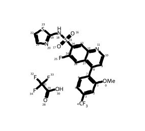 COc1cc(C(F)(F)F)ccc1-c1ccnc2cc(S(=O)(=O)Nc3nccs3)c(F)cc12.O=C(O)C(F)(F)F